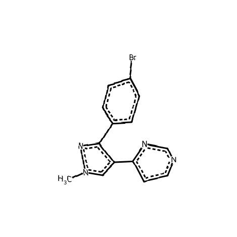 Cn1cc(-c2ccncn2)c(-c2ccc(Br)cc2)n1